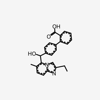 CCc1cn2c(C(O)c3ccc(-c4ccccc4C(=O)O)cc3)c(C)ccc2n1